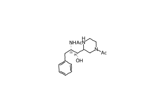 CC(=O)N[C@@H](Cc1ccccc1)[C@@H](O)C1CN(C(C)=O)CCN1